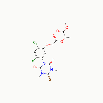 COC(=O)C(C)OC(=O)COc1cc(-n2c(=O)n(C)c(=S)n(C)c2=O)c(F)cc1Cl